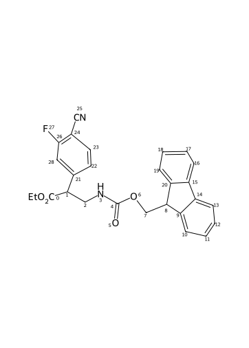 CCOC(=O)C(CNC(=O)OCC1c2ccccc2-c2ccccc21)c1ccc(C#N)c(F)c1